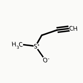 C#CC[S+](C)[O-]